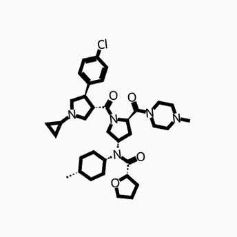 CN1CCN(C(=O)[C@H]2C[C@H](N(C(=O)[C@@H]3CCCO3)[C@H]3CC[C@@H](C)CC3)CN2C(=O)[C@@H]2CN(C3CC3)C[C@H]2c2ccc(Cl)cc2)CC1